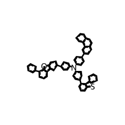 c1ccc(-c2cccc3c2oc2ccc(-c4ccc(N(c5ccc(-c6ccc7ccc8ccccc8c7c6)cc5)c5ccc(-c6cccc7sc8ccccc8c67)cc5)cc4)cc23)cc1